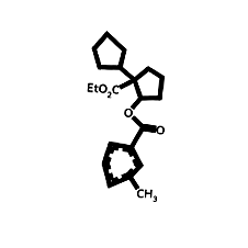 CCOC(=O)C1(C2CCCC2)CCCC1OC(=O)c1cccc(C)c1